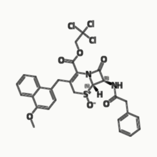 COc1ccc(CC2=C(C(=O)OCC(Cl)(Cl)Cl)N3C(=O)[C@@H](NC(=O)Cc4ccccc4)[C@@H]3[S+]([O-])C2)c2ccccc12